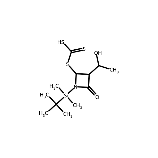 CC(O)C1C(=O)N([Si](C)(C)C(C)(C)C)C1SC(=S)S